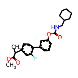 COC(=O)C(C)c1ccc(-c2cccc(OC(=O)NCC3CCCCC3)c2)c(F)c1